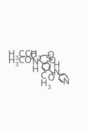 Cc1cc2c(cc1C(=O)Nc1ccncc1)S(=O)(=O)CC[C@@H]2NC(=O)OC(C)(C)C